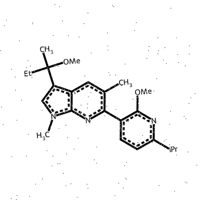 CCC(C)(OC)c1cn(C)c2nc(-c3ccc(C(C)C)nc3OC)c(C)cc12